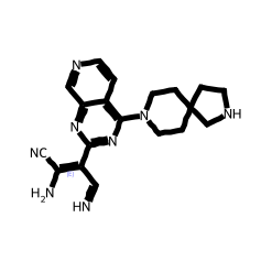 N#C/C(N)=C(/C=N)c1nc(N2CCC3(CCNC3)CC2)c2ccncc2n1